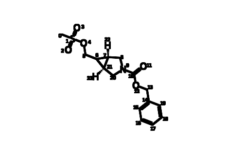 CS(=O)(=O)OCC1[C@H]2CN(C(=O)OCc3ccccc3)C[C@@H]12